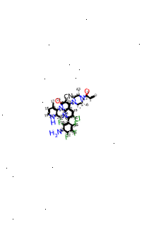 C=CC(=O)N1[C@H](C)CN(c2c(C#N)c(=O)n(C3=C(C)C=CNC3C(C)C)c3nc(C4=C(F)C(N)C(F)C(F)=C4F)c(Cl)cc23)C[C@@H]1C